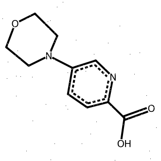 O=C(O)c1ccc(N2CCOCC2)cn1